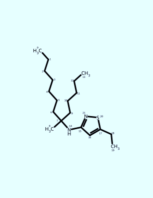 CCCCCCCC(C)(CCCCC)Nc1cc(CC)sn1